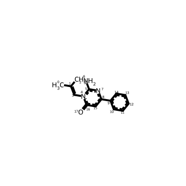 CC(C)=Cn1c(N)nc(-c2ccccc2)cc1=O